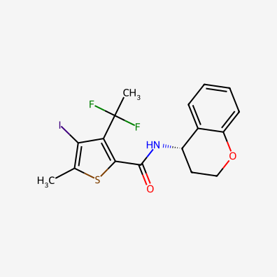 Cc1sc(C(=O)N[C@H]2CCOc3ccccc32)c(C(C)(F)F)c1I